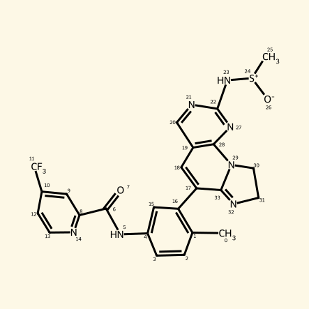 Cc1ccc(NC(=O)c2cc(C(F)(F)F)ccn2)cc1C1=Cc2cnc(N[S+](C)[O-])nc2N2CCN=C12